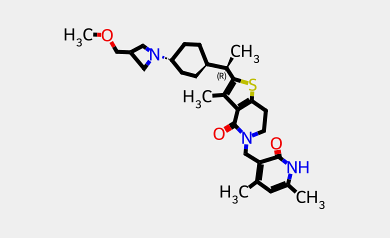 COCC1CN([C@H]2CC[C@H]([C@@H](C)c3sc4c(c3C)C(=O)N(Cc3c(C)cc(C)[nH]c3=O)CC4)CC2)C1